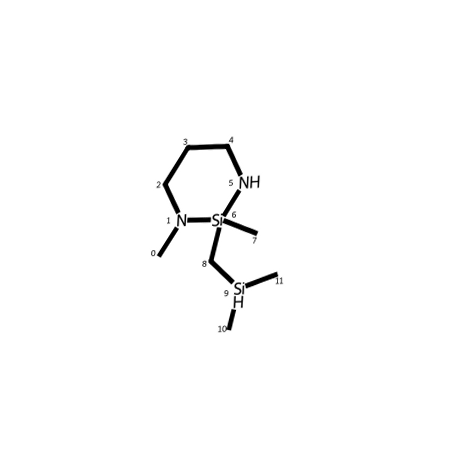 CN1CCCN[Si]1(C)C[SiH](C)C